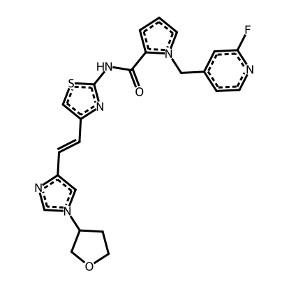 O=C(Nc1nc(C=Cc2cn(C3CCOC3)cn2)cs1)c1cccn1Cc1ccnc(F)c1